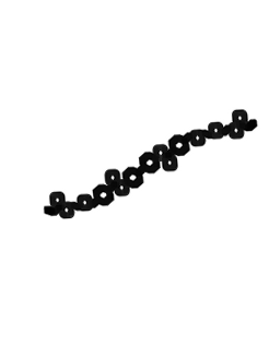 C=CC(=O)OCCOCCOCC1CCC(C(=O)OC2CCC(C3CCC(OC(=O)C4CCC(COCCOC(=O)C=C)CC4)CC3)CC2)CC1